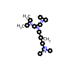 Cc1ccc2c(c1)c1cc(C)ccc1n2-c1ccc2c(c1)c1cc(-n3c4ccccc4c4ccccc43)ccc1n2-c1ccc(-c2ccc(-c3ccc(-c4cc(-c5ccccc5)nc(-c5ccccc5)n4)cc3)c(C)c2)cc1